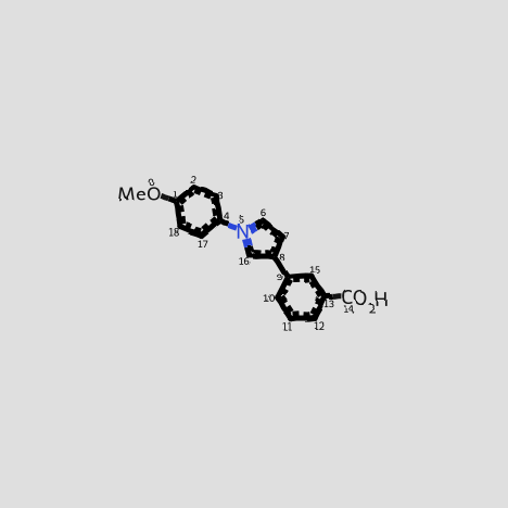 COc1ccc(-n2ccc(-c3cccc(C(=O)O)c3)c2)cc1